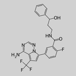 Nc1ncnn2c(-c3ccc(F)c(C(=O)NCCC(O)c4ccccc4)c3)cc(C(F)(F)F)c12